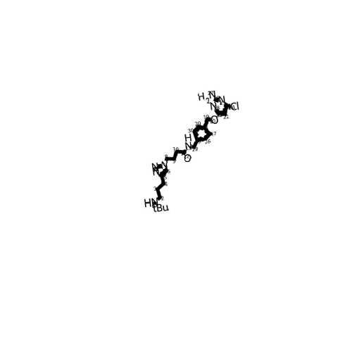 CC(C)(C)NCCCc1cn(CCCC(=O)NCc2ccc(COc3cc(Cl)nc(N)n3)cc2)nn1